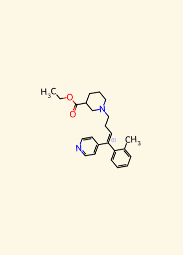 CCOC(=O)C1CCCN(CC/C=C(\c2ccncc2)c2ccccc2C)C1